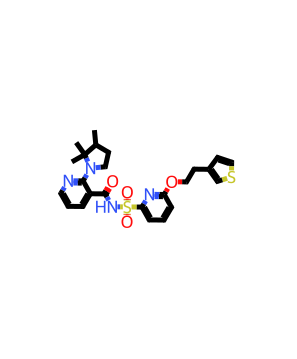 CC1CCN(c2ncccc2C(=O)NS(=O)(=O)c2cccc(OCCc3ccsc3)n2)C1(C)C